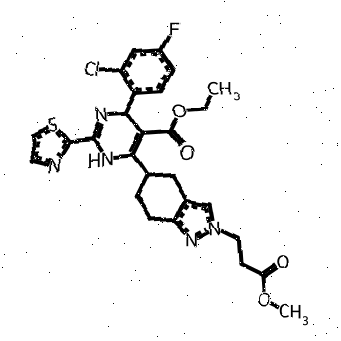 CCOC(=O)C1=C(C2CCc3nn(CCC(=O)OC)cc3C2)NC(c2nccs2)=NC1c1ccc(F)cc1Cl